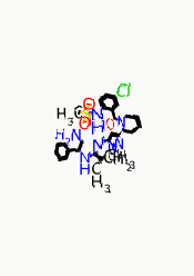 C=C(C)/C(=N\c1cc([C@@H]2CCCCN2C(=O)c2cc(Cl)ccc2NS(C)(=O)=O)nn1C)NC(CN)c1ccccc1